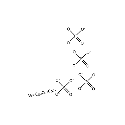 O=P([O-])([O-])[O-].O=P([O-])([O-])[O-].O=P([O-])([O-])[O-].O=P([O-])([O-])[O-].[Co+2].[Co+2].[Co+2].[W+6]